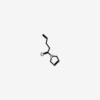 C=CCCC(=O)N1CC=CC1